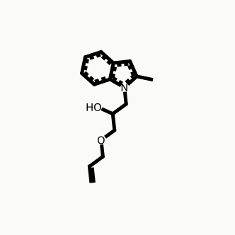 C=CCOCC(O)Cn1c(C)cc2ccccc21